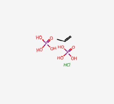 C=CC.Cl.O=P(O)(O)O.O=P(O)(O)O